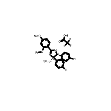 CCOC(=O)[C@]1(c2ccc(Cl)cc2)N=C(c2ccc(OC)cc2OC(C)C)N[C@H]1c1ccc(Cl)cc1.O=C(O)C(F)(F)F